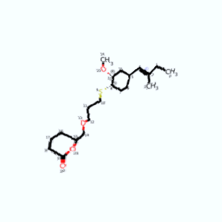 CC/C(C)=C/C1CC[C@H](SCCCOCC2CCCC(=O)O2)[C@H](OC)C1